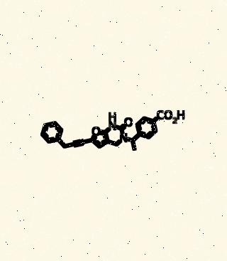 CC(c1ccc(C(=O)O)cc1)N1Cc2cc(C#CCc3ccccc3)oc2NC1=O